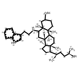 CC(=O)OC1CC[C@]2(C)[C@H]3CC[C@]4(C)[C@@H]([C@H](C)CC[C@@H](C)C(C)C)CC[C@H]4[C@@H]3CC(NCCc3c[nH]c4ccccc34)C2(O)C1